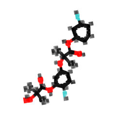 O=C(Oc1cc(OC(C(=O)Oc2cccc(F)c2)(C(F)(F)F)C(F)(F)F)ccc1F)C(O)(C(F)(F)F)C(F)(F)F